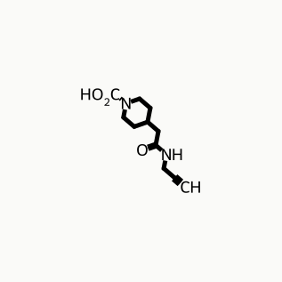 C#CCNC(=O)CC1CCN(C(=O)O)CC1